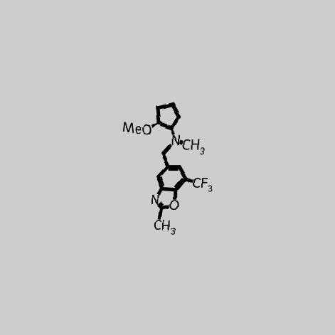 CO[C@H]1CCC[C@H]1N(C)Cc1cc(C(F)(F)F)c2oc(C)nc2c1